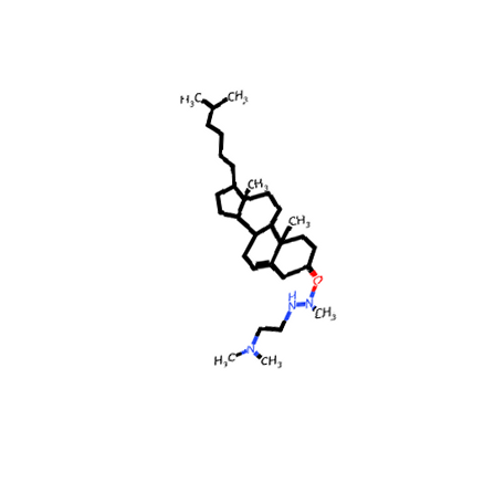 CC(C)CCCCC1CCC2C3CC=C4CC(ON(C)NCCN(C)C)CCC4(C)C3CCC12C